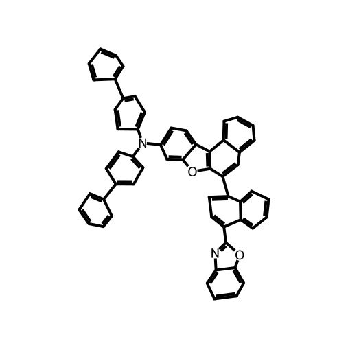 c1ccc(-c2ccc(N(c3ccc(-c4ccccc4)cc3)c3ccc4c(c3)oc3c(-c5ccc(-c6nc7ccccc7o6)c6ccccc56)cc5ccccc5c34)cc2)cc1